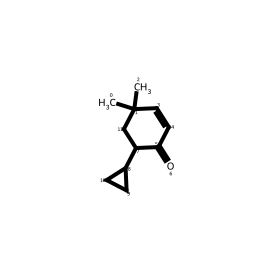 CC1(C)C=CC(=O)C(C2CC2)C1